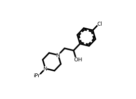 CC(C)N1CCN(CC(O)c2ccc(Cl)cc2)CC1